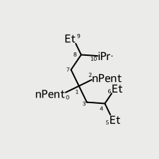 CCCCCC(CCCCC)(CC(CC)CC)CC(CC)[C](C)C